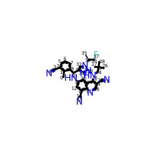 Cc1c(C#N)cccc1[C@H](Nc1cc(C#N)c2ncc(C#N)c(NCC(C)(C)C)c2c1)c1cn([C@@H](C)CF)nn1